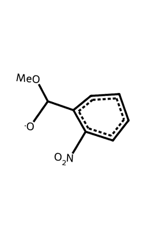 COC([O])c1ccccc1[N+](=O)[O-]